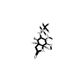 CO[C@H]1[C@@H]2OC(=O)C[C@@H]2[C@@H](C)C(O[Si](C)(C)C(C)(C)C)[C@H]1OC